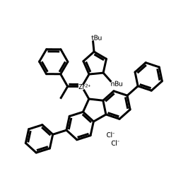 CCCCC1C=C(C(C)(C)C)C=[C]1/[Zr+2](=[C](/C)c1ccccc1)[CH]1c2cc(-c3ccccc3)ccc2-c2ccc(-c3ccccc3)cc21.[Cl-].[Cl-]